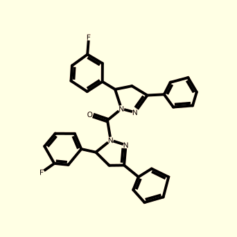 O=C(N1N=C(c2ccccc2)CC1c1cccc(F)c1)N1N=C(c2ccccc2)CC1c1cccc(F)c1